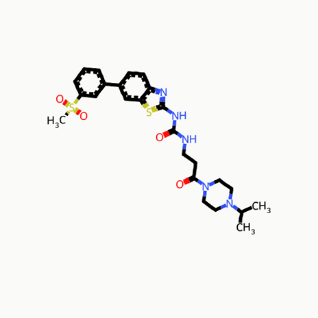 CC(C)N1CCN(C(=O)CCNC(=O)Nc2nc3ccc(-c4cccc(S(C)(=O)=O)c4)cc3s2)CC1